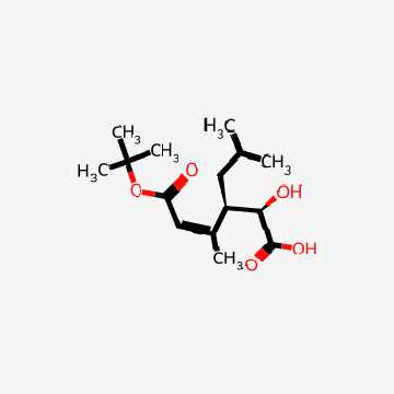 C/C(=C/C(=O)OC(C)(C)C)[C@@H](CC(C)C)[C@@H](O)C(=O)O